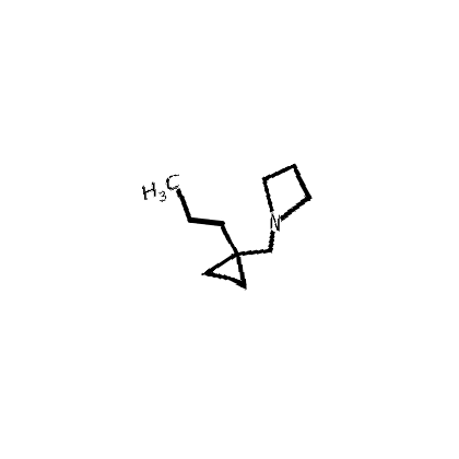 CCCC1(CN2CCC2)CC1